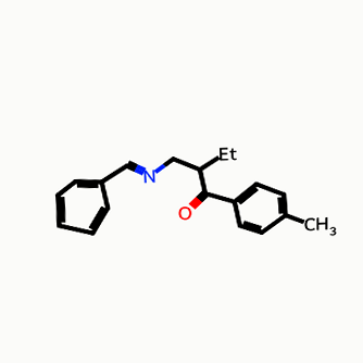 CCC(C/N=C/c1ccccc1)C(=O)c1ccc(C)cc1